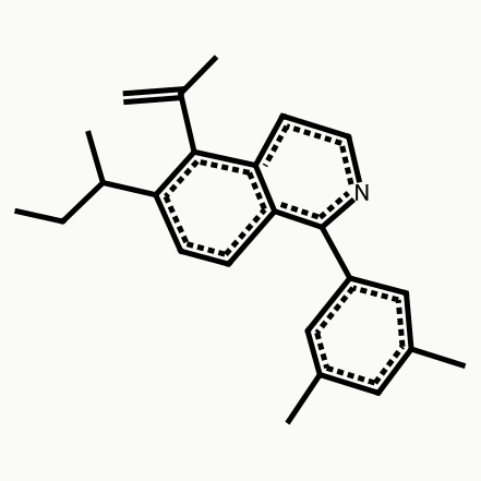 C=C(C)c1c(C(C)CC)ccc2c(-c3cc(C)cc(C)c3)nccc12